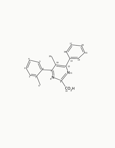 Cc1ccccc1-c1nc(C(=O)O)nc(-c2ccccc2)c1C